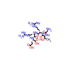 C[C@@H](O)[C@H](NC(=O)CN)C(=O)N[C@@H](CCCNC(=N)N)C(=O)N[C@@H](CCCNC(=N)N)C(=O)N[C@@H](CCC(=O)O)C(=O)O